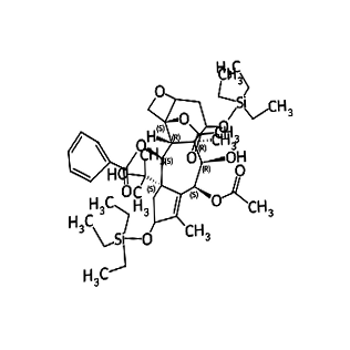 CC[Si](CC)(CC)OC1C[C@]2(C(C)(C)O)C(=C1C)[C@H](OC(C)=O)[C@H](O)[C@]1(C)C(O[Si](CC)(CC)CC)CC3OC[C@@]3(OC(C)=O)[C@H]1[C@@H]2OC(=O)c1ccccc1